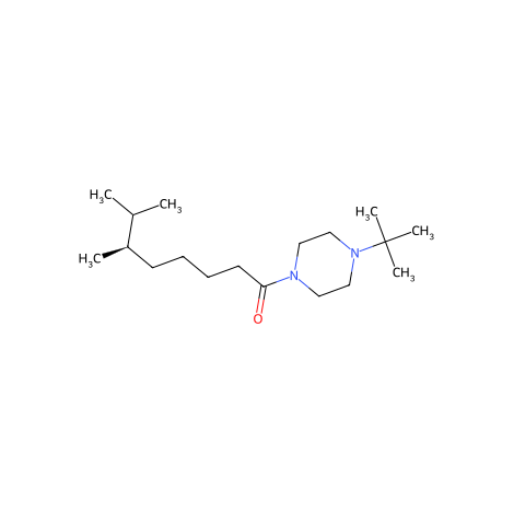 CC(C)[C@H](C)CCCCC(=O)N1CCN(C(C)(C)C)CC1